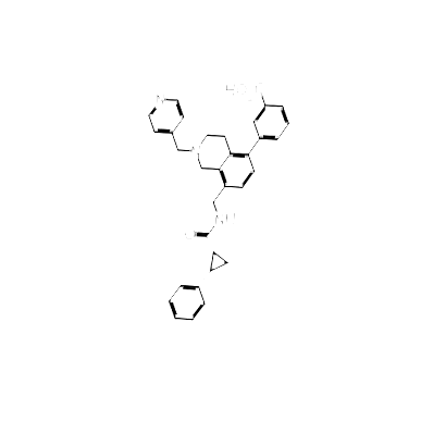 O=C(O)c1cccc(-c2ccc(CNC(=O)[C@@H]3C[C@@H]3c3ccccc3)c3c2CCN(Cc2ccncc2)C3)c1